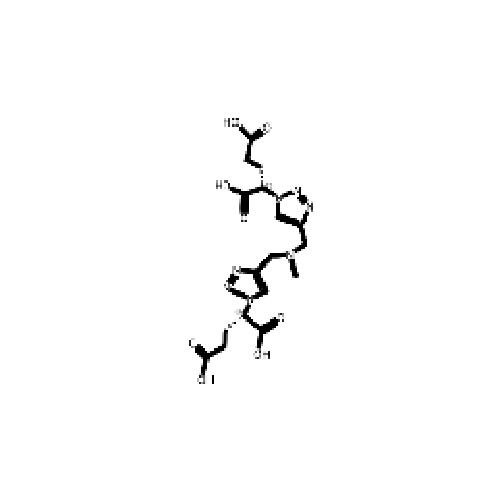 CN(Cc1cn([C@@H](CCC(=O)O)C(=O)O)nn1)Cc1cn([C@@H](CCC(=O)O)C(=O)O)nn1